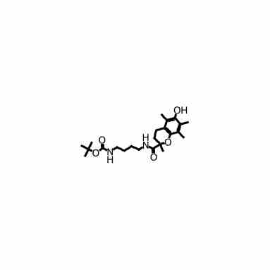 Cc1c(C)c2c(c(C)c1O)CCC(C)(C(=O)NCCCCNC(=O)OC(C)(C)C)O2